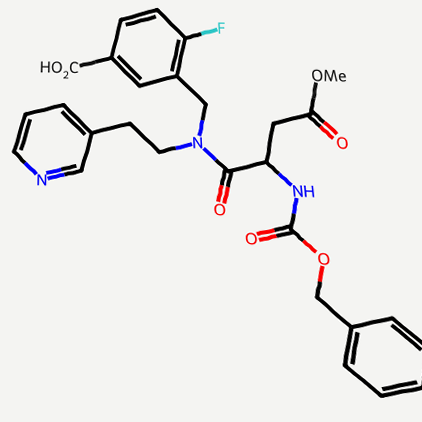 COC(=O)CC(NC(=O)OCc1ccccc1)C(=O)N(CCc1cccnc1)Cc1cc(C(=O)O)ccc1F